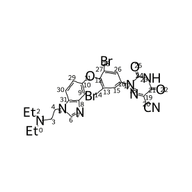 CCN(CC)CCn1cnc2cc(Oc3c(Br)cc(-n4nc(C#N)c(=O)[nH]c4=O)cc3Br)ccc21